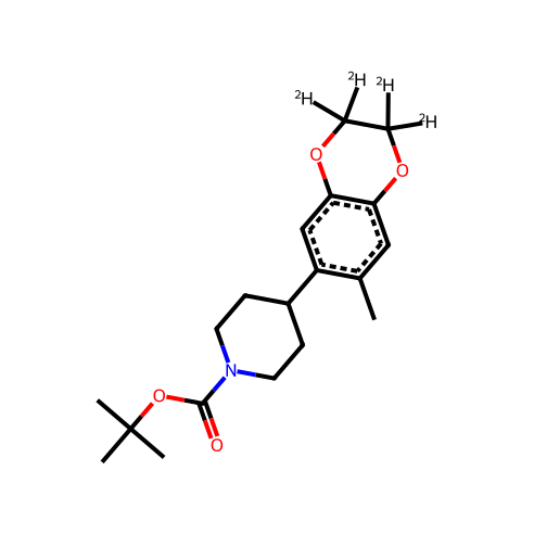 [2H]C1([2H])Oc2cc(C)c(C3CCN(C(=O)OC(C)(C)C)CC3)cc2OC1([2H])[2H]